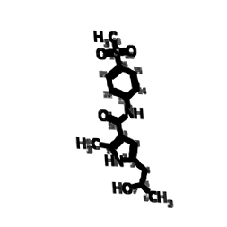 Cc1[nH]c(CC(C)O)cc1C(=O)Nc1ccc(S(C)(=O)=O)cc1